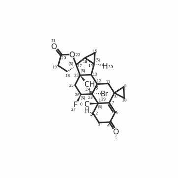 C[C@]12CCC(=O)C=C1C1(CC1)CC1C3[C@@H]4CC4[C@@]4(CCC(=O)O4)[C@@]3(C)C[C@H](F)[C@@]12Br